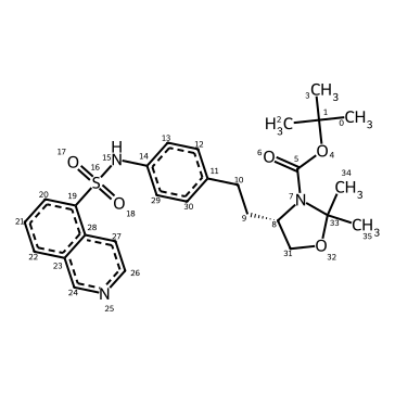 CC(C)(C)OC(=O)N1[C@@H](CCc2ccc(NS(=O)(=O)c3cccc4cnccc34)cc2)COC1(C)C